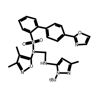 Cc1cc(NCN(c2onc(C)c2C)S(=O)(=O)c2ccccc2-c2ccc(-c3ncco3)cc2)n(C(C)(C)C)n1